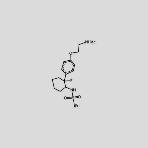 CC(=O)NCCOc1ccc(C2(F)CCCCC2NS(=O)(=O)C(C)C)cc1